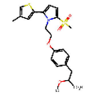 CCOC(Cc1ccc(OCCn2c(-c3cc(C)cs3)ccc2S(C)(=O)=O)cc1)C(=O)O